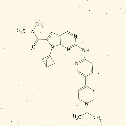 CC(C)N1CC=C(c2ccc(Nc3ncc4cc(C(=O)N(C)C)n(C56CC(C5)C6)c4n3)nc2)CC1